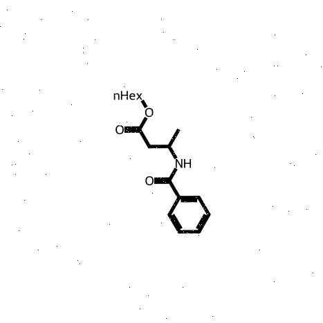 CCCCCCOC(=O)CC(C)NC(=O)c1ccccc1